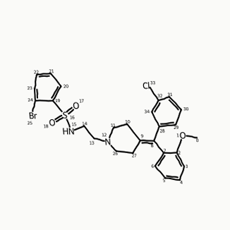 COc1ccccc1C(=C1CCN(CCNS(=O)(=O)c2ccccc2Br)CC1)c1cccc(Cl)c1